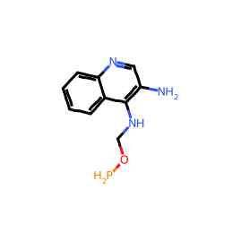 Nc1cnc2ccccc2c1NCOP